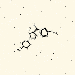 COc1ccc([C@@H]2CN([C@H]3CC[C@H](C)CC3)C[C@@]2(C)C(=O)O)cc1